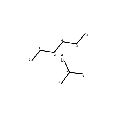 CCCCCC.[Li][CH](C)C